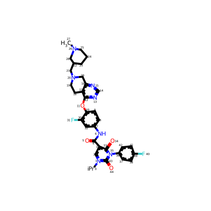 CC(C)n1cc(C(=O)Nc2ccc(Oc3ncnc4c3CCN(CC3CCCN(C)C3)C4)c(F)c2)c(=O)n(-c2ccc(F)cc2)c1=O